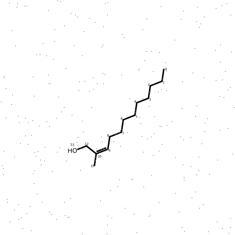 CCCCCCCCCC=C(C)CO